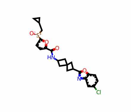 O=C(NC1CC2(C1)CC(c1nc3cc(Cl)ccc3o1)C2)c1ccc([S@@+]([O-])CC2CC2)o1